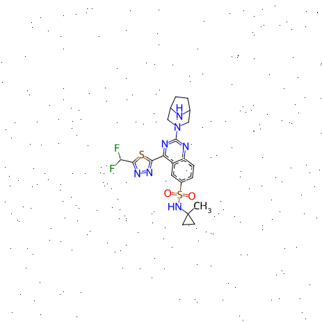 CC1(NS(=O)(=O)c2ccc3nc(N4CC5CCC(C4)N5)nc(-c4nnc(C(F)F)s4)c3c2)CC1